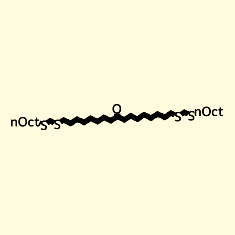 CCCCCCCCSCSCCCCCCCCC(=O)CCCCCCCCSCSCCCCCCCC